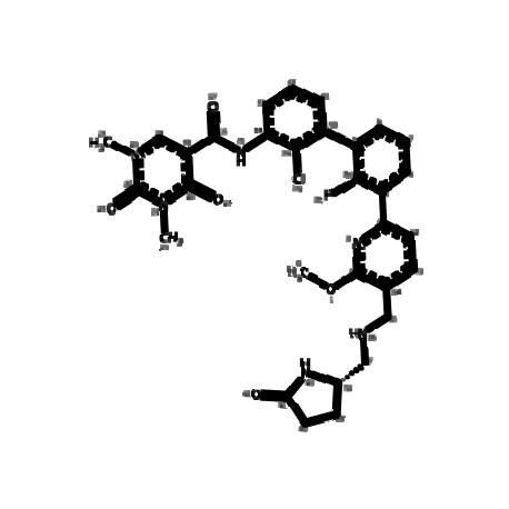 COc1nc(-c2cccc(-c3cccc(NC(=O)c4cn(C)c(=O)n(C)c4=O)c3Cl)c2F)ccc1CNC[C@@H]1CCC(=O)N1